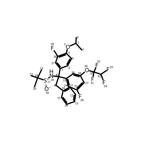 CC(C)Oc1ccc(C(Cc2ccccc2)(N[S@+]([O-])C(C)(C)C)c2cc(F)cc(OC(F)(F)C(F)F)c2)cc1F